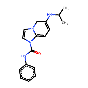 CC(C)NC1=CC=C2N(C=CN2C(=O)Nc2ccccc2)C1